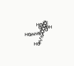 O=C1c2cc(SCCCCCCO)c(SCCCCCCO)cc2C(=O)c2c1c(O)c1ccccc1c2O